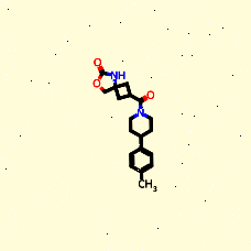 Cc1ccc(C2CCN(C(=O)C3CC4(COC(=O)N4)C3)CC2)cc1